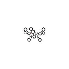 c1ccc(N(c2ccc3c(c2)oc2ccccc23)c2ccc(N(c3ccccc3)c3ccc4c(c3)oc3ccccc34)c3c2oc2cc4ccccc4cc23)cc1